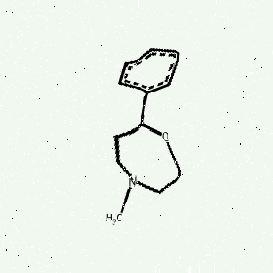 CN1CCOC(c2ccccc2)CC1